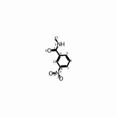 O=C(NI)c1cccc([N+](=O)[O-])c1